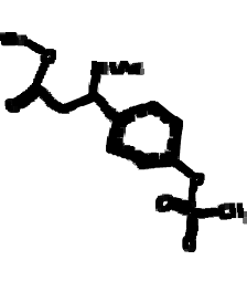 CC(=O)NC(CC(=O)OC(C)(C)C)c1ccc(OS(C)(=O)=O)cc1